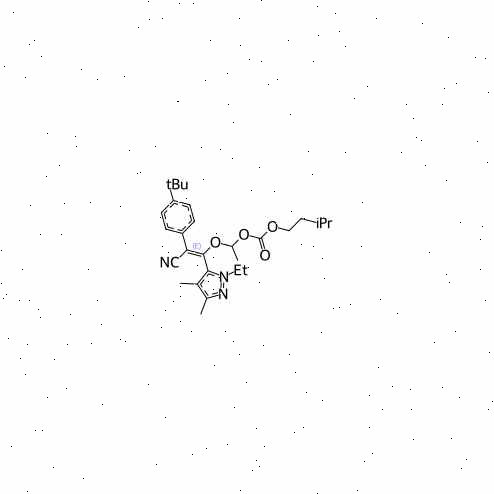 CCn1nc(C)c(C)c1/C(OC(C)OC(=O)OCCC(C)C)=C(\C#N)c1ccc(C(C)(C)C)cc1